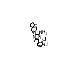 Cc1nc(N2CCC3(CCC[C@H]3C)CC2)c(N)nc1-c1cccc(Cl)c1Cl